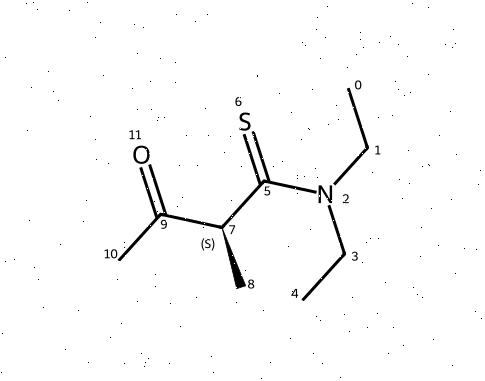 CCN(CC)C(=S)[C@@H](C)C(C)=O